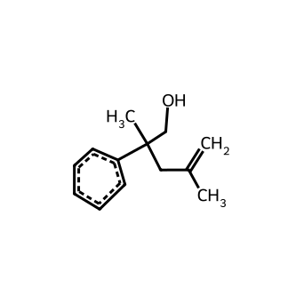 C=C(C)CC(C)(CO)c1ccccc1